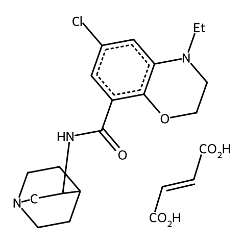 CCN1CCOc2c(C(=O)NC3CN4CCC3CC4)cc(Cl)cc21.O=C(O)C=CC(=O)O